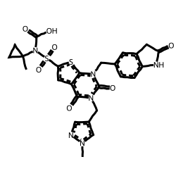 Cn1cc(Cn2c(=O)c3cc(S(=O)(=O)N(C(=O)O)C4(C)CC4)sc3n(Cc3ccc4c(c3)CC(=O)N4)c2=O)cn1